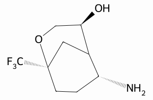 N[C@@H]1CC[C@]2(C(F)(F)F)CC1[C@H](O)CO2